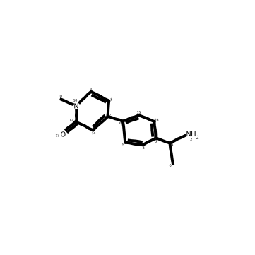 CC(N)c1ccc(-c2ccn(C)c(=O)c2)cc1